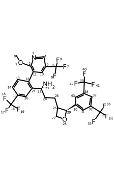 COc1ncc(C(F)(F)F)cc1-c1ccc(C(F)(F)F)cc1[C@@H](N)CCC1CO[C@@H]1c1cc(C(F)(F)F)cc(C(F)(F)F)c1